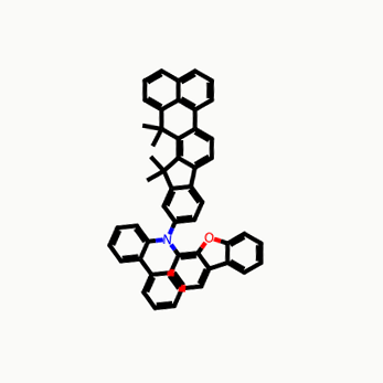 CC1(C)c2cc(N(c3ccccc3-c3ccccc3)c3cccc4c3oc3ccccc34)ccc2-c2ccc3c(c21)C(C)(C)c1cccc2cccc-3c12